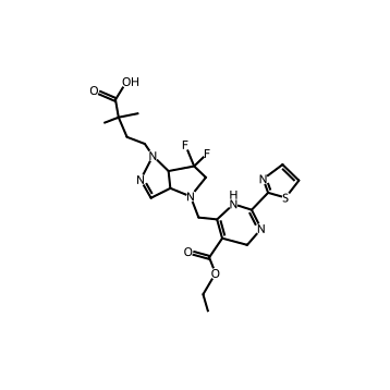 CCOC(=O)C1=C(CN2CC(F)(F)C3C2C=NN3CCC(C)(C)C(=O)O)NC(c2nccs2)=NC1